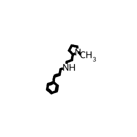 CN1CCCC1CCNCC=Cc1ccccc1